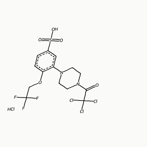 Cl.O=C(N1CCN(c2cc(S(=O)(=O)O)ccc2OCC(F)(F)F)CC1)C(Cl)(Cl)Cl